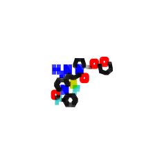 Nc1c(C(=O)N2CCC[C@@H]2COC2CCCCO2)sc2c1ccc(=O)n2-c1c(F)cccc1F